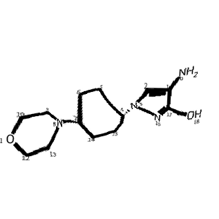 Nc1cn([C@H]2CC[C@H](N3CCOCC3)CC2)nc1O